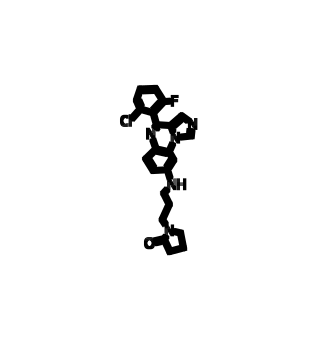 O=C1CCCN1CCCNc1ccc2nc(-c3c(F)cccc3Cl)c3cncn3c2c1